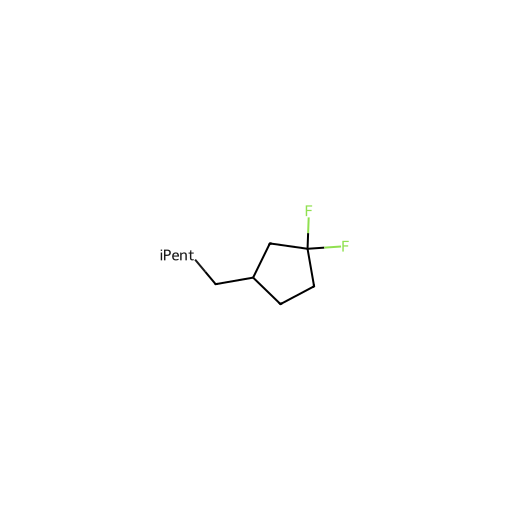 CCCC(C)CC1CCC(F)(F)C1